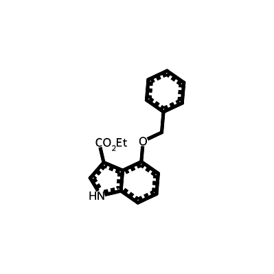 CCOC(=O)c1c[nH]c2cccc(OCc3ccccc3)c12